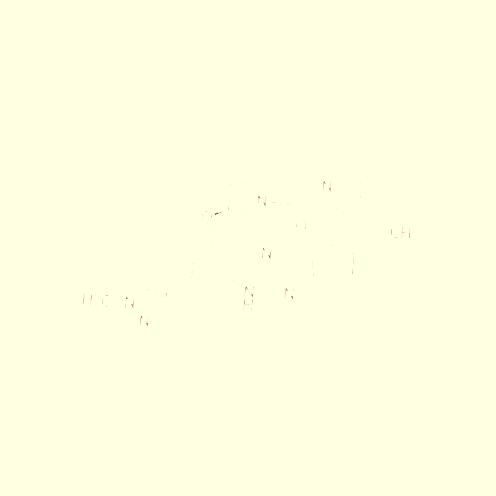 C#Cc1ccc2nc(Nc3cc(O[C@H]4CCN(C(=O)CN5CCCC5)C4)cc(-c4cnn(C)c4)c3)ncc2c1